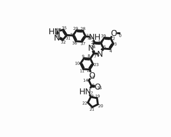 COc1ccc2nc(-c3cccc(OCC(=O)NC4CCCC4)c3)nc(Nc3ccc(-c4cn[nH]c4)cc3)c2c1